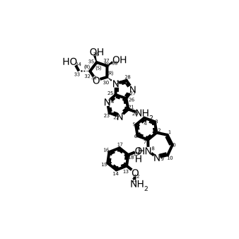 C1=Cc2ccccc2NN=C1.NOc1ccccc1O.Nc1ncnc2c1ncn2[C@@H]1O[C@H](CO)[C@@H](O)[C@H]1O